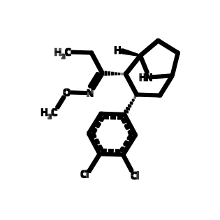 CCC(=NOC)[C@@H]1[C@@H]2CCC(C[C@@H]1c1ccc(Cl)c(Cl)c1)N2